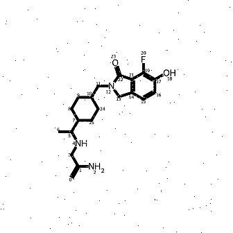 C=C(N)CNC(C)C1CCC(CN2Cc3ccc(O)c(F)c3C2=O)CC1